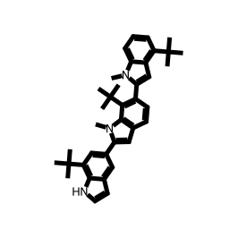 Cn1c(-c2ccc3cc(-c4cc(C(C)(C)C)c5[nH]ccc5c4)n(C)c3c2C(C)(C)C)cc2c(C(C)(C)C)cccc21